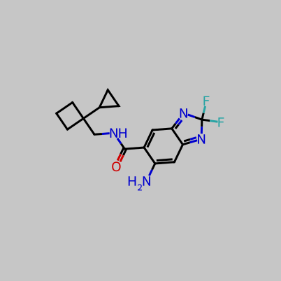 Nc1cc2c(cc1C(=O)NCC1(C3CC3)CCC1)=NC(F)(F)N=2